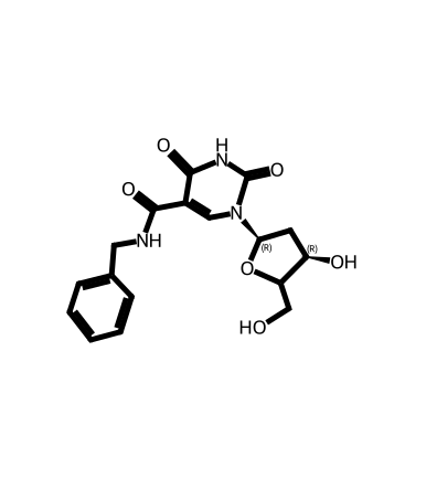 O=C(NCc1ccccc1)c1cn([C@H]2C[C@@H](O)C(CO)O2)c(=O)[nH]c1=O